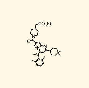 CCOC(=O)CC1CCN(C(=O)c2cc3nc(C4CCC(C)(C)CC4)cc(N(C)c4c(C)cccc4C)n3n2)CC1